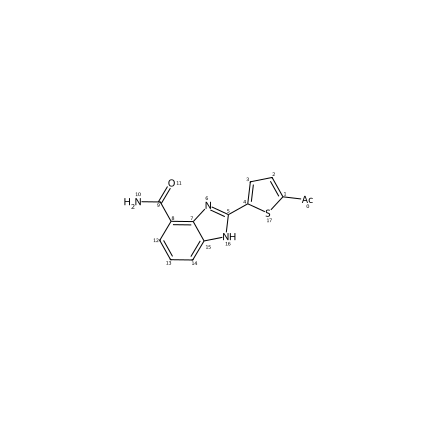 CC(=O)c1ccc(-c2nc3c(C(N)=O)cccc3[nH]2)s1